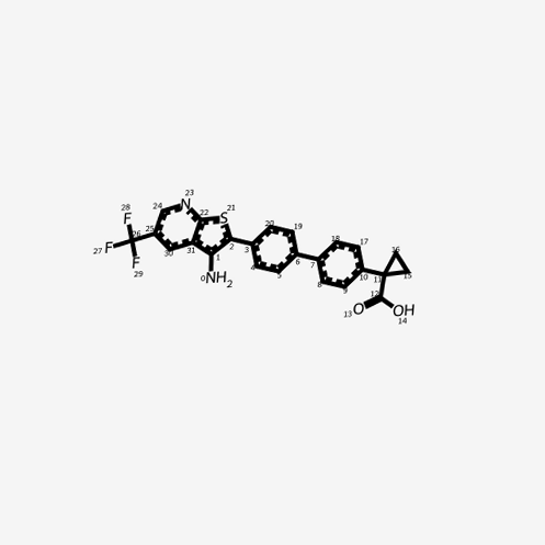 Nc1c(-c2ccc(-c3ccc(C4(C(=O)O)CC4)cc3)cc2)sc2ncc(C(F)(F)F)cc12